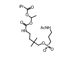 CC(=O)NCCCS(=O)(=O)OCC(C)(C)CCNC(=O)OC(C)OC(=O)C(C)C